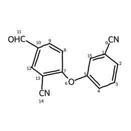 N#Cc1cccc(Oc2ccc(C=O)cc2C#N)c1